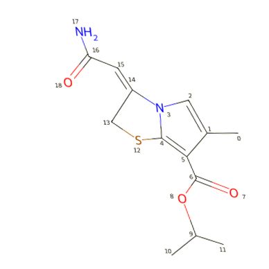 Cc1cn2c(c1C(=O)OC(C)C)SC/C2=C\C(N)=O